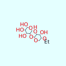 CCO[C@@H]1CO[C@@H](O[C@@H]2CO[C@@H](O)C(O)C2O)C(O)C1O